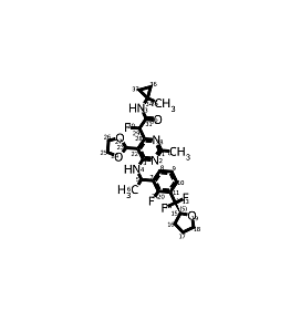 Cc1nc(NC(C)c2cccc(C(F)(F)[C@@H]3CCCO3)c2F)c(C2OCCO2)c(C(F)C(=O)NC2(C)CC2)n1